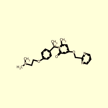 Cc1cc(OCc2ncccn2)cc(=O)n1[C@H](C)c1ccc(OCCN(C)C)cc1